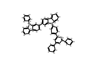 c1ccc(-c2cc(-c3ccccc3)nc(-c3ccc(-n4c5ccccc5c5ccc(-c6ccc7c8ccccc8n(-c8ccccc8)c7c6)cc54)cc3)c2)cc1